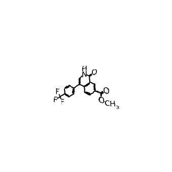 COC(=O)c1ccc2c(-c3ccc(C(F)(F)F)cc3)c[nH]c(=O)c2c1